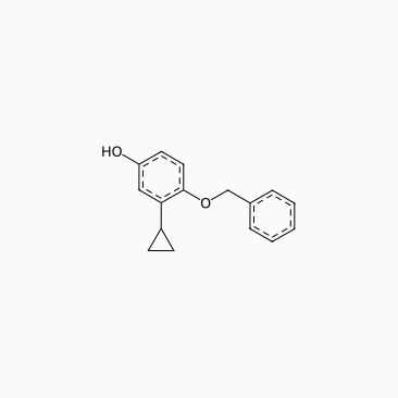 Oc1ccc(OCc2ccccc2)c(C2CC2)c1